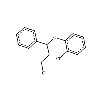 ClCCC(Oc1ccccc1Cl)c1ccccc1